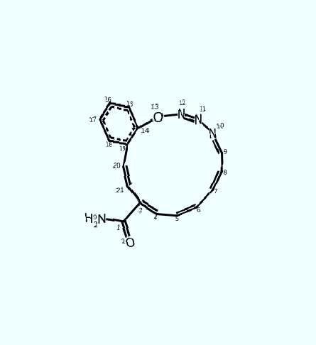 NC(=O)C1=CC=CC=CC=NN=NOc2ccccc2C=C1